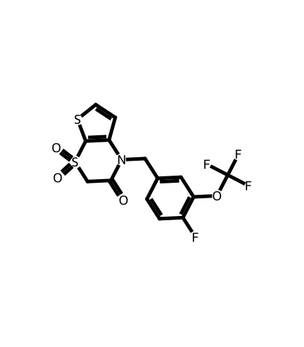 O=C1CS(=O)(=O)c2sccc2N1Cc1ccc(F)c(OC(F)(F)F)c1